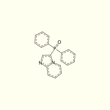 O=P(c1ccccc1)(c1ccccc1)c1cnc2ccccn12